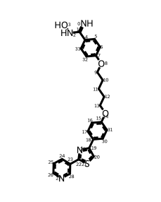 N=C(NO)c1ccc(OCCCCCOc2ccc(-c3csc(-c4cccnc4)n3)cc2)cc1